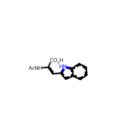 CC(=O)NC(=Cc1cc2ccccc2[nH]1)C(=O)O